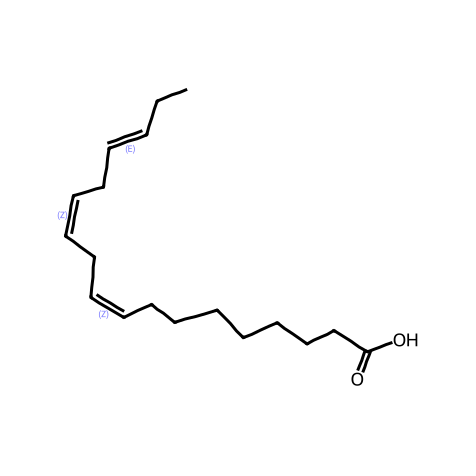 CC/C=C/C/C=C\C/C=C\CCCCCCCC(=O)O